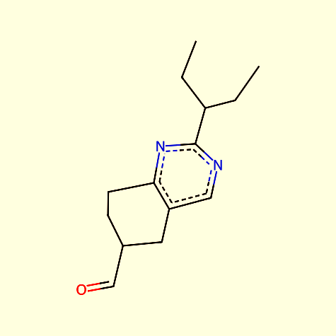 CCC(CC)c1ncc2c(n1)CCC(C=O)C2